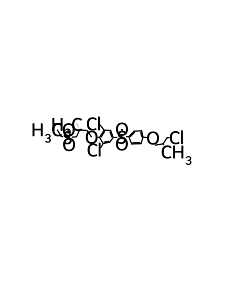 CCS(=O)(=O)C[C@H](C)COc1c(Cl)cc(S(=O)(=O)c2ccc(OC[C@H](C)CCl)cc2)cc1Cl